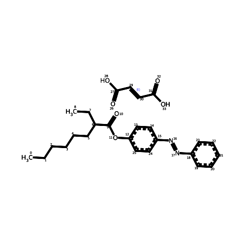 CCCCCCC(CC)C(=O)Oc1ccc(N=Nc2ccccc2)cc1.O=C(O)/C=C/C(=O)O